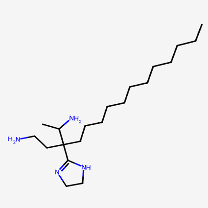 CCCCCCCCCCCCC(CCN)(C1=NCCN1)C(C)N